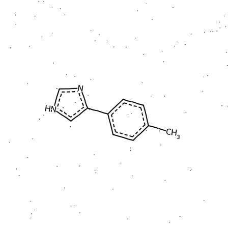 Cc1ccc(-c2c[nH][c]n2)cc1